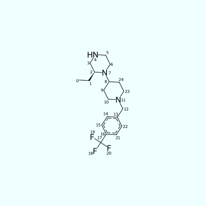 CC[C@H]1CNCCN1C1CCN(Cc2ccc(C(F)(F)F)cc2)CC1